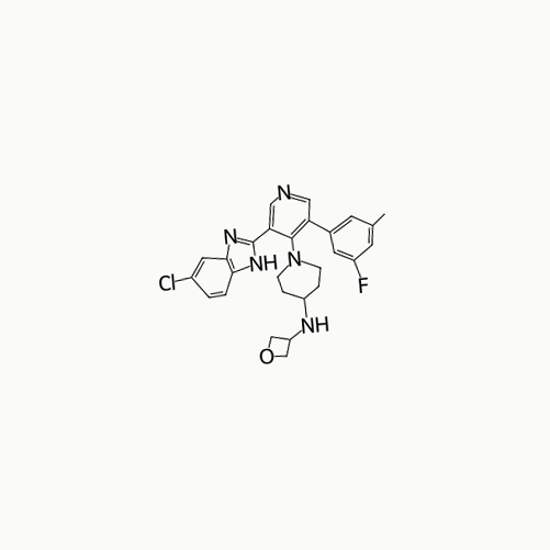 Cc1cc(F)cc(-c2cncc(-c3nc4cc(Cl)ccc4[nH]3)c2N2CCC(NC3COC3)CC2)c1